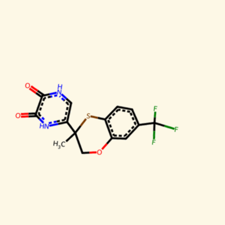 CC1(c2c[nH]c(=O)c(=O)[nH]2)COc2cc(C(F)(F)F)ccc2S1